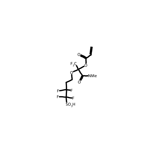 C=CC(=O)OC(OCCC(F)(F)C(F)(F)S(=O)(=O)O)(C(=O)NC)C(F)(F)F